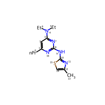 CCCc1cc(N(CC)CC)nc(Nc2nc(C)cs2)n1